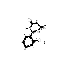 Cc1ccccc1C1=NC(=O)CC(=O)N1